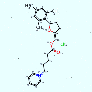 Cc1cc(C)c(C2CCC(=COC(=O)CCCC[n+]3ccccc3)O2)c(C)c1.[Cl-]